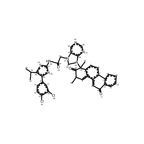 CC1C=c2c(ccc3c2=CC(=O)c2ccccc2-3)C(C)(N2CN(CC(=O)Nc3nc(-c4ccc(Cl)c(Cl)c4)c(C(C)C)s3)c3cncnc32)C1=O